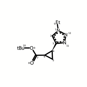 CCn1cc([C@H]2CC2C(=O)OC(C)(C)C)nn1